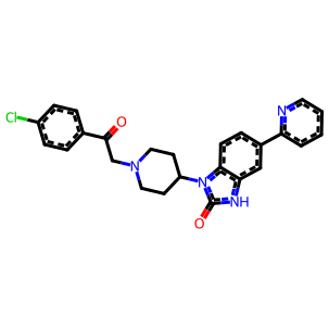 O=C(CN1CCC(n2c(=O)[nH]c3cc(-c4ccccn4)ccc32)CC1)c1ccc(Cl)cc1